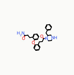 NC(=O)CCc1ccccc1Oc1ccccc1CCC(=O)N1CCNCC1Cc1ccccc1